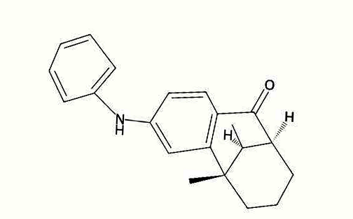 C[C@H]1[C@@H]2CCC[C@]1(C)c1cc(Nc3ccccc3)ccc1C2=O